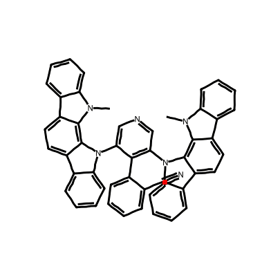 Cn1c2ccccc2c2ccc3c4ccccc4n(-c4cncc(-n5c6ccccc6c6ccc7c8ccccc8n(C)c7c65)c4-c4ccccc4C#N)c3c21